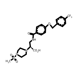 CS(=O)(=O)N1CCN([C@@H](CNC(=O)c2ccc(OCc3ccc(C(F)(F)F)cc3)cc2)C(=O)O)CC1